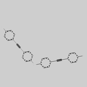 [CH2]c1ccc(C#Cc2ccc(Oc3ccc(C#Cc4ccc([CH2])cc4)cc3)cc2)cc1